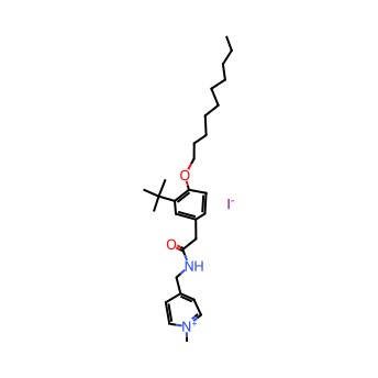 CCCCCCCCCCOc1ccc(CC(=O)NCc2cc[n+](C)cc2)cc1C(C)(C)C.[I-]